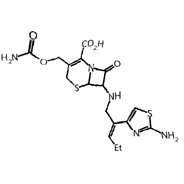 CCC=C(CNC1C(=O)N2C(C(=O)O)=C(COC(N)=O)CSC12)c1csc(N)n1